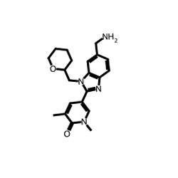 Cc1cc(-c2nc3ccc(CN)cc3n2CC2CCCCO2)cn(C)c1=O